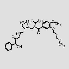 COCCCOc1cc(C(=O)N(C[C@@H]2CNC[C@H]2CNCC(=O)[C@@H](O)c2ccccc2)C(C)C)ccc1OC